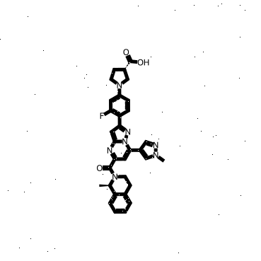 C[C@@H]1c2ccccc2CCN1C(=O)c1cc(-c2cnn(C)c2)n2nc(-c3ccc(N4CC[C@H](C(=O)O)C4)cc3F)cc2n1